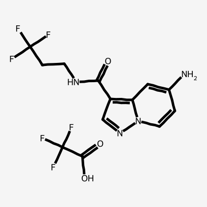 Nc1ccn2ncc(C(=O)NCCC(F)(F)F)c2c1.O=C(O)C(F)(F)F